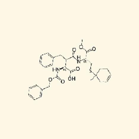 COC(=O)[C@H](CSC1(C)CC=CCC1)NC(=O)C(Cc1ccccc1)[C@H](NC(=O)OCc1ccccc1)C(=O)O